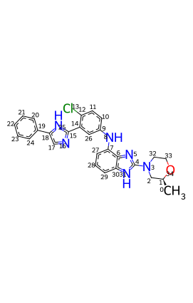 C[C@H]1CN(c2nc3c(Nc4ccc(Cl)c(-c5ncc(-c6ccccc6)[nH]5)c4)cccc3[nH]2)CCO1